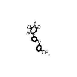 O=C1C[C@@H](c2cccc(Oc3cccc(C(F)(F)F)c3)c2)NC(=O)N1